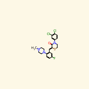 CN1CCN(c2ccc(F)cc2/C=C2\SCCN(c3ccc(Cl)c(Cl)c3)C2=O)CC1